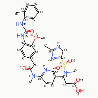 COc1cc(CC(=O)N(C)c2ccc(C(CC(=O)O)N(C)S(=O)(=O)C3=NC(C)=NC3)cn2)ccc1NC(=O)Nc1ccccc1C